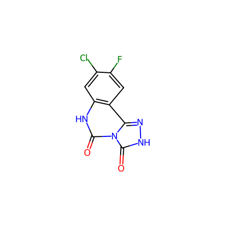 O=c1[nH]nc2c3cc(F)c(Cl)cc3[nH]c(=O)n12